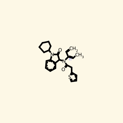 C=C/C(=C\C)N(C(=O)Cc1cccs1)C1C(=O)N(C2CCCCC2)c2ccccc21